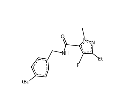 CCc1nn(C)c(C(=O)NCc2ccc(C(C)(C)C)cc2)c1F